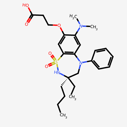 CCCC[C@@]1(CC)CN(c2ccccc2)c2cc(N(C)C)c(OCCC(=O)O)cc2S(=O)(=O)N1